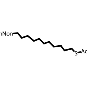 CCCCCCCCCCCCCCCCCCCCSC(C)=O